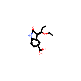 CCOC(CC)=C1C(=O)Nc2ccc(C(=O)O)cc21